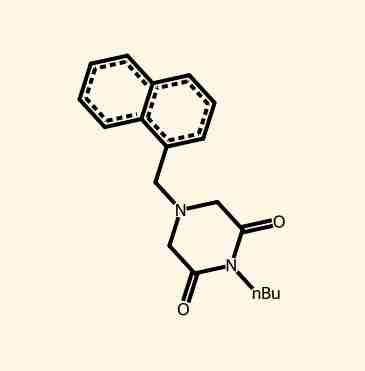 CCCCN1C(=O)CN(Cc2cccc3ccccc23)CC1=O